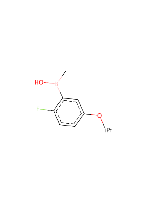 CB(O)c1cc(OC(C)C)ccc1F